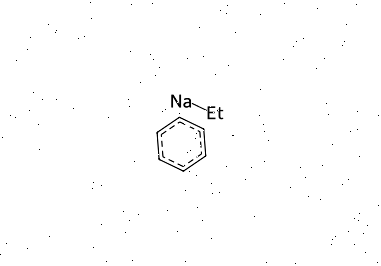 C[CH2][Na].c1ccccc1